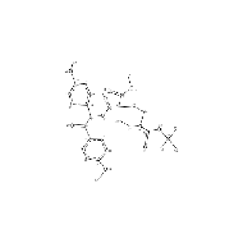 COC(=O)C1(C(=O)OC(C(=O)c2ccc(OC)cc2)c2ccc(OC)cc2)CCN(C(=O)OC(C)(C)C)CC1